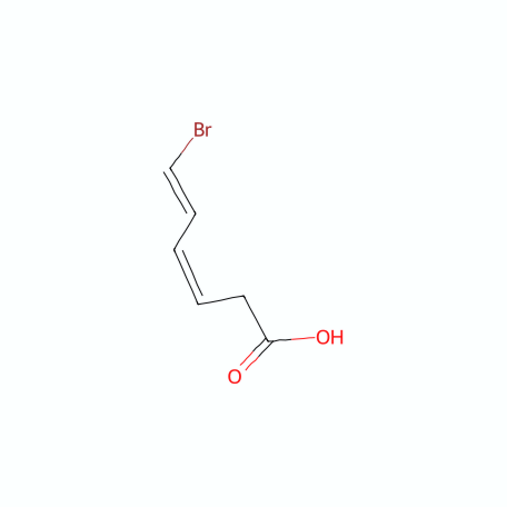 O=C(O)C/C=C\C=C\Br